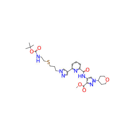 COC(=O)c1nn(C2CCOCC2)cc1NC(=O)c1cccc(-c2cnn(CCCSCCNC(=O)OC(C)(C)C)c2)n1